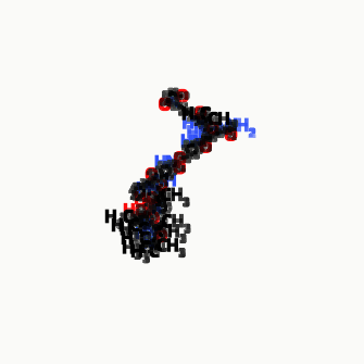 CC[C@@H](C)[C@H](NC(=O)[C@H](C(C)C)N(C)C)C(=O)N(C)[C@H]([C@H](O)CC(=O)N1CCC[C@H]1[C@H](O)[C@@H](C)C(=O)N[C@@H](Cc1ccccc1)C(=O)Nc1ccc(NC(=O)OCc2ccc(NC(=O)[C@H](CCCNC(N)=O)NC(=O)[C@@H](NC(=O)CCCCCN3C(=O)C=CC3=O)C(C)C)cc2)cc1)[C@@H](C)CC